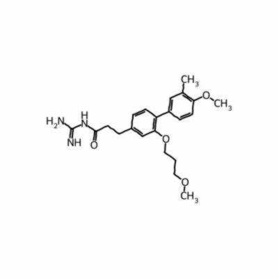 COCCCOc1cc(CCC(=O)NC(=N)N)ccc1-c1ccc(OC)c(C)c1